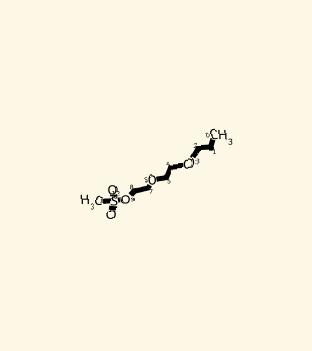 CCCOCCOCCOS(C)(=O)=O